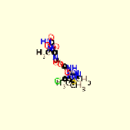 Cc1sc2c(c1C)C(c1ccc(Cl)cc1)=N[C@@H](CC(=O)Nc1ccc(OC[C@@H]3CN(c4ccc5c(=O)n(C6CCC(=O)NC6=O)nc(C)c5c4)CCO3)cc1)c1nnc(C)n1-2